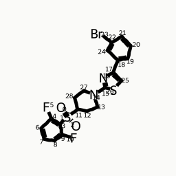 O=S(=O)(c1c(F)cccc1F)C1CCN(c2nc(-c3cccc(Br)c3)cs2)CC1